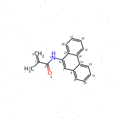 C=C(C)C(=O)Nc1cc2ccccc2c2ccccc12